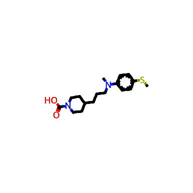 CSc1ccc(N(C)CCCC2CCN(C(=O)O)CC2)cc1